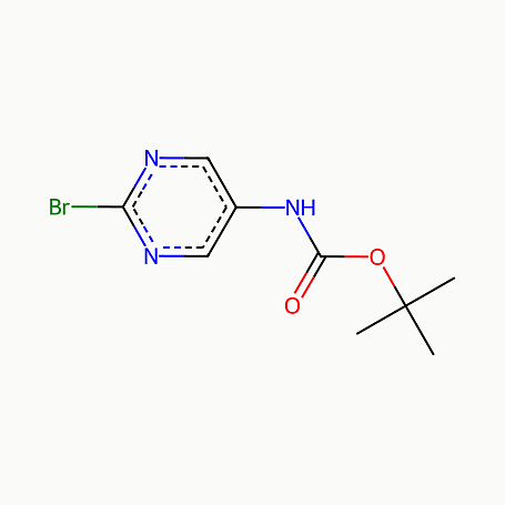 CC(C)(C)OC(=O)Nc1cnc(Br)nc1